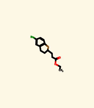 CCOC(=O)CCC1CCc2cc(Br)ccc2S1